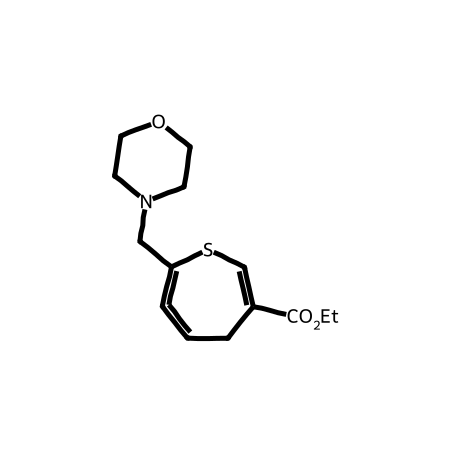 CCOC(=O)C1=CSC(CN2CCOCC2)=C=CC1